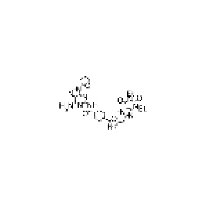 CCn1c(=O)c2c(nc(Cc3cnc(-c4ccc(C(=O)Nc5nc(N)c6ncn([C@H]7CCCO7)c6n5)cc4)o3)n2C)n(CC)c1=O